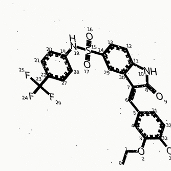 CCOc1cc(C=C2C(=O)Nc3ccc(S(=O)(=O)Nc4ccc(C(F)(F)F)cc4)cc32)ccc1O